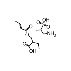 CC(CN)S(=O)(=O)O.CC=CC(=O)OCC(CC)C(=O)O